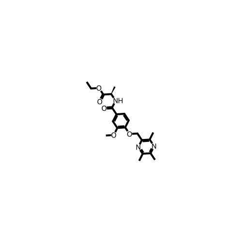 CCOC(=O)[C@@H](C)NC(=O)c1ccc(OCc2nc(C)c(C)nc2C)c(OC)c1